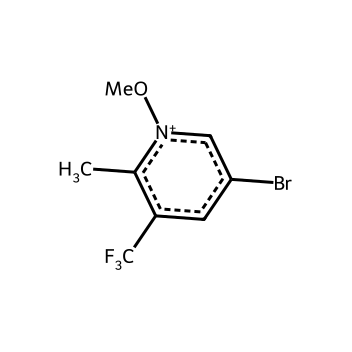 CO[n+]1cc(Br)cc(C(F)(F)F)c1C